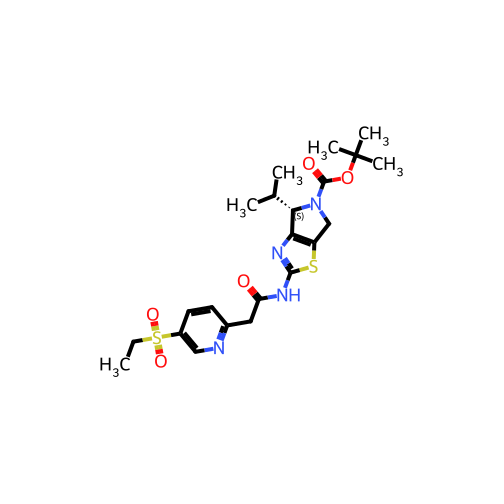 CCS(=O)(=O)c1ccc(CC(=O)Nc2nc3c(s2)CN(C(=O)OC(C)(C)C)[C@H]3C(C)C)nc1